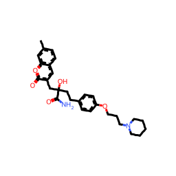 Cc1ccc2cc(CC(O)(CCc3ccc(OCCCN4CCCCC4)cc3)C(N)=O)c(=O)oc2c1